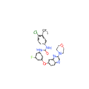 O=C(Nc1cc(F)cc(Oc2ccc3ncc(N4CCOCC4)nc3c2)c1)Nc1ccc(Cl)c(C(F)(F)F)c1